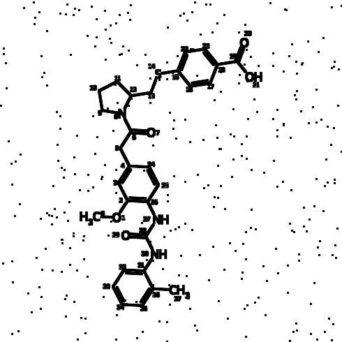 COc1cc(CC(=O)N2CCCC2CSc2ccc(C(=O)O)cc2)ccc1NC(=O)Nc1ccccc1C